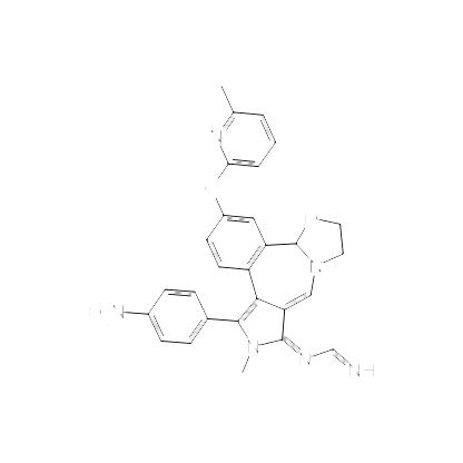 Cc1cccc(Oc2ccc3c(c2)C2OCCN2C=C2C3=C(c3ccc([N+](=O)[O-])cc3)N(C)/C2=N/C=N)n1